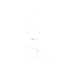 CCCCCCCCCc1ccc(CC(N)(CO)CO)cc1